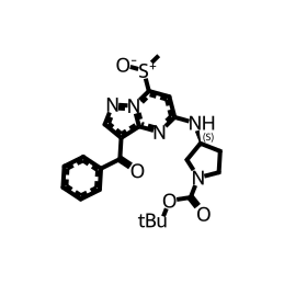 C[S+]([O-])c1cc(N[C@H]2CCN(C(=O)OC(C)(C)C)C2)nc2c(C(=O)c3ccccc3)cnn12